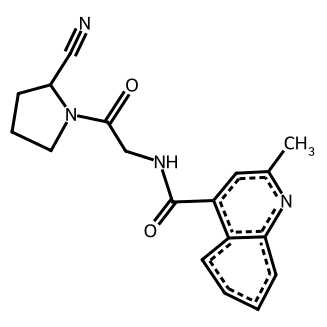 Cc1cc(C(=O)NCC(=O)N2CCCC2C#N)c2ccccc2n1